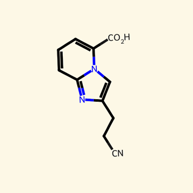 N#CCCc1cn2c(C(=O)O)cccc2n1